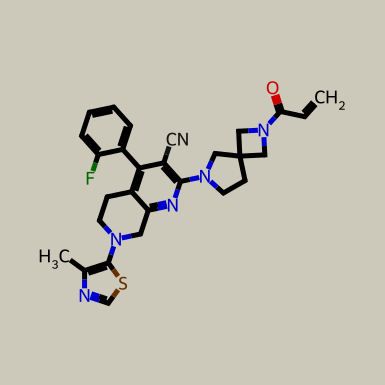 C=CC(=O)N1CC2(CCN(c3nc4c(c(-c5ccccc5F)c3C#N)CCN(c3scnc3C)C4)C2)C1